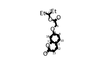 CCC(CC)OC(=O)COc1ccc2ccc(=O)oc2c1